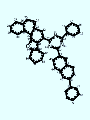 c1ccc(-c2ccc3cc(-c4nc(-c5ccccc5)nc(-c5cc6ccc7ccccc7c6c6oc7ccccc7c56)n4)ccc3c2)cc1